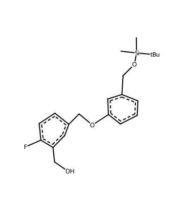 CC(C)(C)[Si](C)(C)OCc1cccc(OCc2ccc(F)c(CO)c2)c1